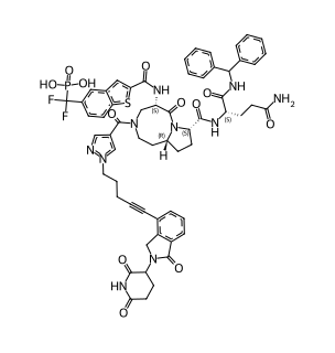 NC(=O)CC[C@H](NC(=O)[C@@H]1CC[C@@H]2CCN(C(=O)c3cnn(CCCC#Cc4cccc5c4CN(C4CCC(=O)NC4=O)C5=O)c3)C[C@H](NC(=O)c3cc4cc(C(F)(F)P(=O)(O)O)ccc4s3)C(=O)N21)C(=O)NC(c1ccccc1)c1ccccc1